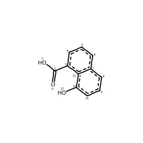 O=C(O)c1cccc2cccc(O)c12